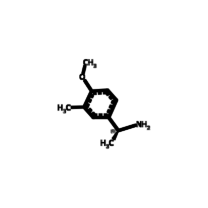 COc1ccc([C@H](C)N)cc1C